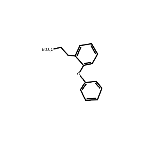 CCOC(=O)CCc1ccccc1Oc1ccccc1